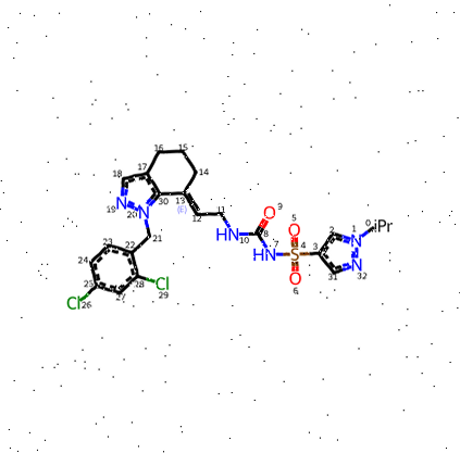 CC(C)n1cc(S(=O)(=O)NC(=O)NC/C=C2\CCCc3cnn(Cc4ccc(Cl)cc4Cl)c32)cn1